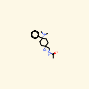 CC(=O)NC[C@]1(N)CC[C@@](c2ccccc2)(N(C)C)CC1